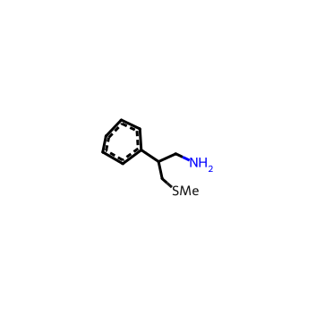 CSCC(CN)c1ccccc1